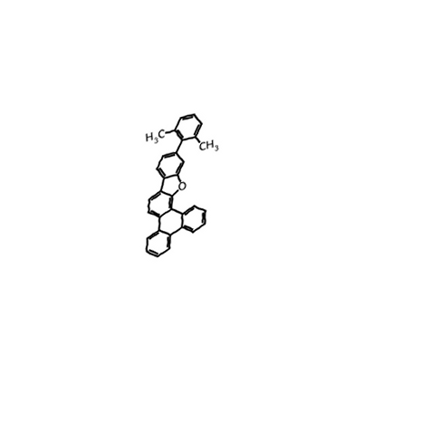 Cc1cccc(C)c1-c1ccc2c(c1)oc1c2ccc2c3ccccc3c3ccccc3c21